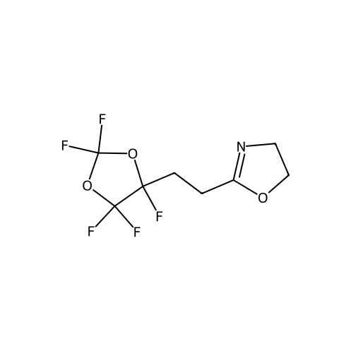 FC1(F)OC(F)(F)C(F)(CCC2=NCCO2)O1